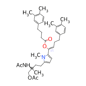 CC(=O)N[C@](C)(CCc1ccc(/C(=C/CCc2ccc(C)c(C)c2)OC(=O)CCCc2ccc(C)c(C)c2)n1C)COC(C)=O